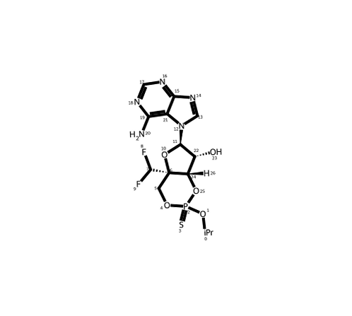 CC(C)OP1(=S)OC[C@@]2(C(F)F)O[C@@H](n3cnc4ncnc(N)c43)[C@H](O)[C@@H]2O1